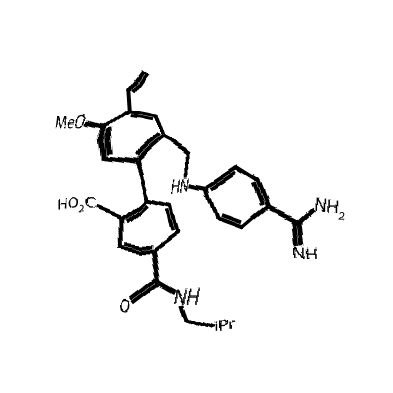 C=Cc1cc(CNc2ccc(C(=N)N)cc2)c(-c2ccc(C(=O)NCC(C)C)cc2C(=O)O)cc1OC